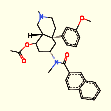 COc1cccc([C@@]23CCN(C)C[C@H]2C(OC(C)=O)C[C@@H](N(C)C(=O)c2ccc4ccccc4c2)C3)c1